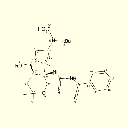 CC1(C)C[C@@H](CO)[C@](NC(=S)NC(=O)c2ccccc2)(c2nc(N(C(=O)O)C(C)(C)C)cs2)CO1